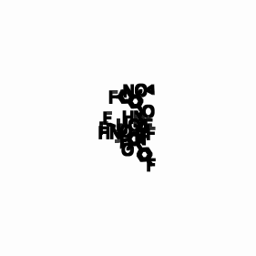 C[C@]1(C(=O)NCC(F)F)COc2c1cc(C(O)(CNC(=O)c1cc(OC3CC3)c3ncc(F)cc3c1)C(F)(F)F)nc2-c1ccc(F)cc1